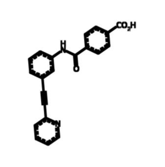 O=C(O)c1ccc(C(=O)Nc2cccc(C#Cc3ccccn3)c2)cc1